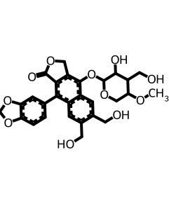 COC1COC(Oc2c3c(c(-c4ccc5c(c4)OCO5)c4cc(CO)c(CO)cc24)C(=O)OC3)C(O)C1CO